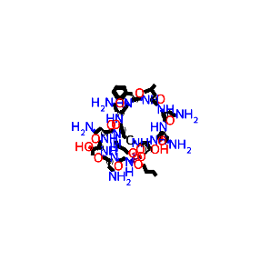 CCCCOP(=O)(NCC(=O)N[C@@H](CCN)C(=O)N[C@H](C(=O)N[C@@H](CCN)C(=O)N[C@H]1CCNC(=O)[C@H]([C@H](C)O)NC(=O)[C@H](CCN)NC(=O)[C@H](CCN)NC(=O)[C@H](CC(C)C)NC(=O)[C@@H](Cc2ccccc2)NC(=O)[C@H](CCN)NC1=O)C(C)O)OCCCC